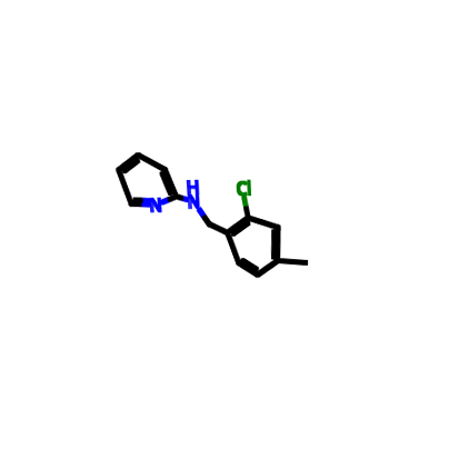 Cc1ccc(CNc2ccccn2)c(Cl)c1